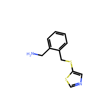 NCc1ccccc1CSc1cncs1